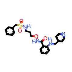 O=C(NOCCCNS(=O)(=O)Cc1ccccc1)c1ccccc1NCc1ccncc1